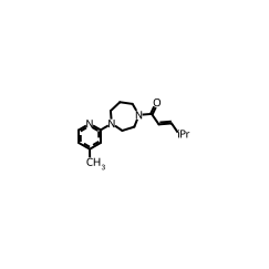 Cc1ccnc(N2CCCN(C(=O)C=CC(C)C)CC2)c1